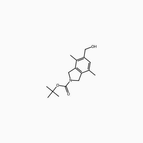 Cc1cc(CO)c(C)c2c1CN(C(=O)OC(C)(C)C)C2